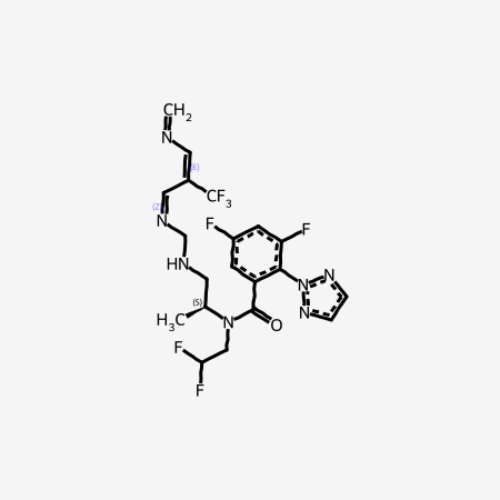 C=N/C=C(\C=N/CNC[C@H](C)N(CC(F)F)C(=O)c1cc(F)cc(F)c1-n1nccn1)C(F)(F)F